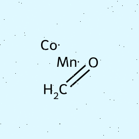 C=O.[Co].[Mn]